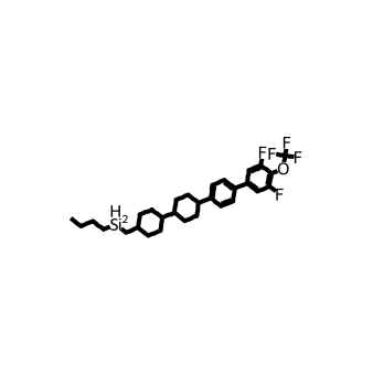 CCCC[SiH2]CC1CCC(C2CCC(c3ccc(-c4cc(F)c(OC(F)(F)F)c(F)c4)cc3)CC2)CC1